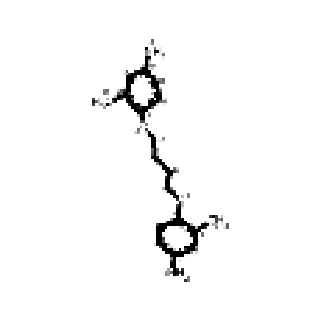 Cc1cc(N)ccc1OCCCCOc1ccc(N)cc1C